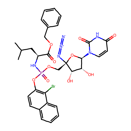 CC(C)C[C@H](NP(=O)(OC[C@@]1(N=[N+]=[N-])O[C@@H](n2ccc(=O)[nH]c2=O)[C@H](O)[C@@H]1O)Oc1ccc2ccccc2c1Br)C(=O)OCc1ccccc1